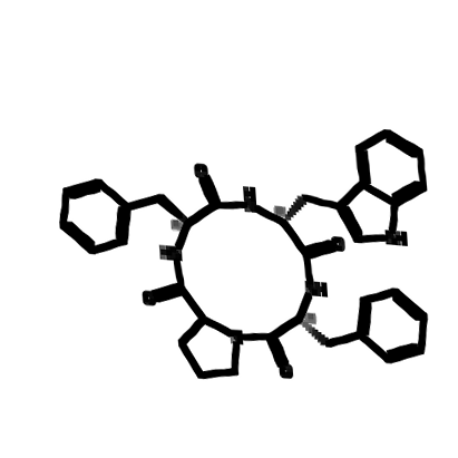 O=C1N[C@@H](Cc2ccccc2)C(=O)N[C@H](Cc2c[nH]c3ccccc23)C(=O)N[C@H](Cc2ccccc2)C(=O)N2CCCC12